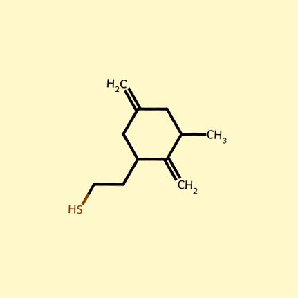 C=C1CC(C)C(=C)C(CCS)C1